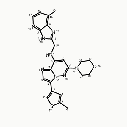 Cc1cc(-c2cnc3c(NCc4nc5c(C)ccnc5[nH]4)cc(N4CCOCC4)nn23)cs1